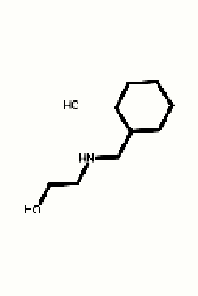 Cl.OCCNCC1CCCCC1